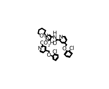 O=C(Nc1cnn(C2CCCCO2)c1)c1cc(COc2ccccc2Cl)ccn1.O=C(O)c1cc(COc2ccccc2Cl)ccn1